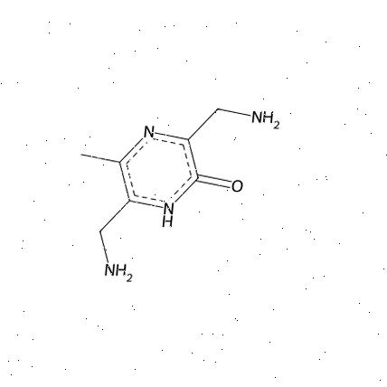 Cc1nc(CN)c(=O)[nH]c1CN